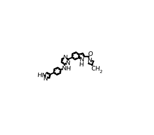 C=C1CN(C(=O)c2cc3ccc(-c4nccc(Nc5ccc(-c6cn[nH]c6)cc5)n4)cc3[nH]2)C1